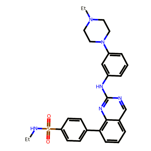 CCNS(=O)(=O)c1ccc(-c2cccc3cnc(Nc4cccc(N5CCN(CC)CC5)c4)nc23)cc1